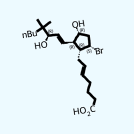 CCCCC(C)(C)[C@H](O)C=C[C@@H]1[C@@H](CC=CCCCC(=O)O)[C@@H](Br)C[C@H]1O